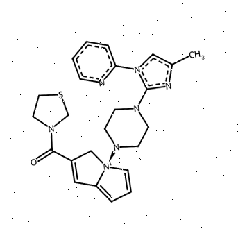 Cc1cn(-c2ccccn2)c(N2CCN([N@@+]34C=CC=C3C=C(C(=O)N3CCSC3)C4)CC2)n1